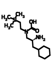 C[Si](C)(C)CCN(C[C@H](N)CC1CCCCC1)C(=O)O